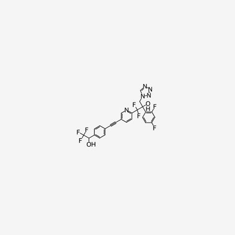 OC(c1ccc(C#Cc2ccc(C(F)(F)C(O)(Cn3cnnn3)c3ccc(F)cc3F)nc2)cc1)C(F)(F)F